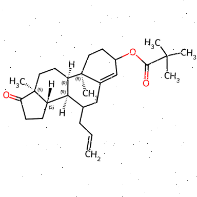 C=CCC1CC2=CC(OC(=O)C(C)(C)C)CC[C@]2(C)[C@@H]2CC[C@]3(C)C(=O)CC[C@H]3[C@H]12